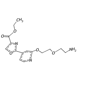 CCOC(=O)c1coc(-c2ccnc(OCCOCCN)c2)n1